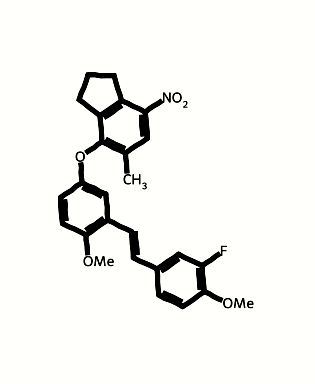 COc1ccc(C=Cc2cc(Oc3c(C)cc([N+](=O)[O-])c4c3CCC4)ccc2OC)cc1F